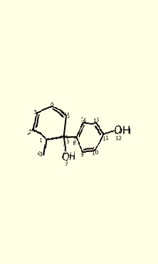 CC1C=CC=CC1(O)c1ccc(O)cc1